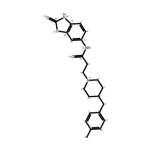 Cc1ccc(CC2CCN(CCC(=O)Nc3ccc4[nH]c(=O)oc4c3)CC2)cc1